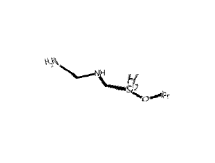 CC(C)O[SiH2]CNCN